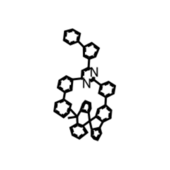 CC1(C)c2ccccc2C2(c3ccccc3-c3ccc(-c4cccc(-c5nc(-c6cccc(-c7ccccc7)c6)cc(-c6cccc(-c7ccccc7)c6)n5)c4)cc32)c2ccccc21